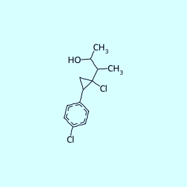 CC(O)C(C)C1(Cl)CC1c1ccc(Cl)cc1